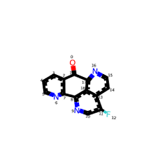 O=C1c2cccnc2-c2ncc(F)c3ccnc1c23